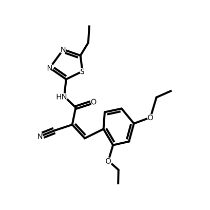 CCOc1ccc(C=C(C#N)C(=O)Nc2nnc(CC)s2)c(OCC)c1